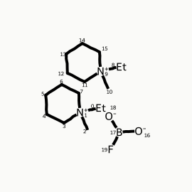 CC[N+]1(C)CCCCC1.CC[N+]1(C)CCCCC1.[O-]B([O-])F